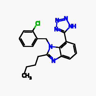 CCCCc1nc2cccc(-c3nnn[nH]3)c2n1Cc1ccccc1Cl